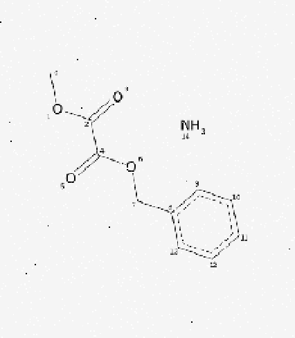 COC(=O)C(=O)OCc1ccccc1.N